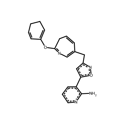 Nc1ncccc1-c1cc(CC2=CN=C(OC3=CCCC=C3)CC=C2)no1